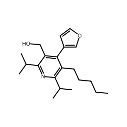 CCCCCc1c(C(C)C)nc(C(C)C)c(CO)c1-c1ccoc1